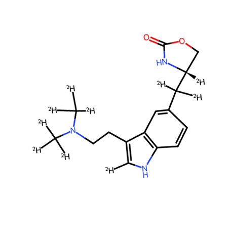 [2H]c1[nH]c2ccc(C([2H])([2H])[C@@]3([2H])COC(=O)N3)cc2c1CCN(C([2H])([2H])[2H])C([2H])([2H])[2H]